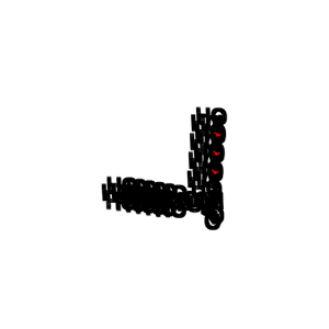 CC(=O)O.CC(=O)O.CC(=O)Oc1cccc2c1Cc1ccccc1O2.OCC(O)CO.OCC(O)CO.OCC(O)CO.OCC(O)CO.OCC(O)CO.OCC(O)CO.OCC(O)CO.OCC(O)CO.OCC(O)CO.OCC(O)CO